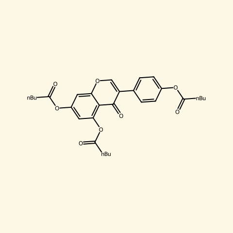 CCCCC(=O)Oc1ccc(-c2coc3cc(OC(=O)CCCC)cc(OC(=O)CCCC)c3c2=O)cc1